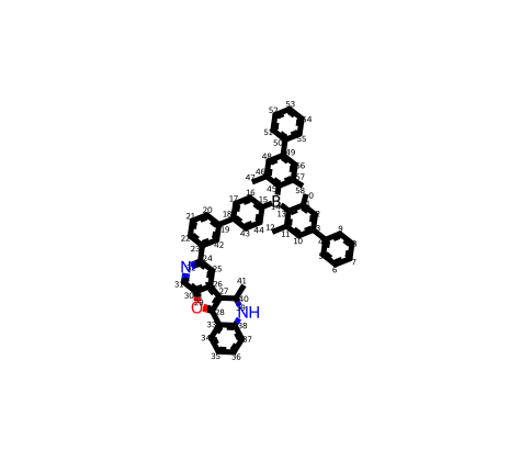 Cc1cc(-c2ccccc2)cc(C)c1B(c1ccc(-c2cccc(-c3cc4c5c(oc4cn3)-c3ccccc3NC5C)c2)cc1)c1c(C)cc(-c2ccccc2)cc1C